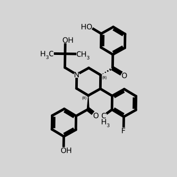 Cc1c(F)cccc1C1[C@@H](C(=O)c2cccc(O)c2)CN(CC(C)(C)O)C[C@@H]1C(=O)c1cccc(O)c1